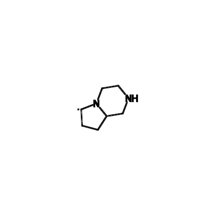 [CH]1CCC2CNCCN12